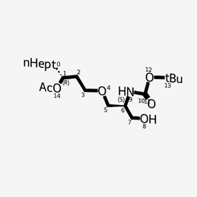 CCCCCCC[C@H](CCOC[C@H](CO)NC(=O)OC(C)(C)C)OC(C)=O